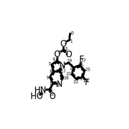 CCOC(=O)Oc1cc2cc(C(=O)NO)ncc2n1Cc1ccc(F)cc1F